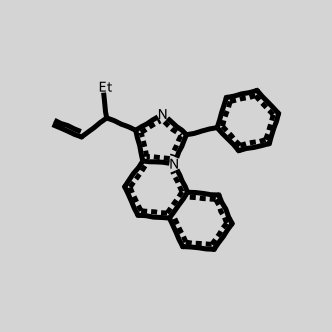 C=CC(CC)c1nc(-c2ccccc2)n2c1ccc1ccccc12